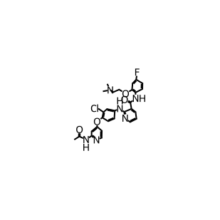 CC(=O)Nc1cc(Oc2ccc(Nc3ncccc3C(=O)Nc3ccc(F)cc3OCCN(C)C)cc2Cl)ccn1